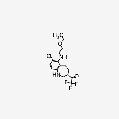 CCOCCNc1c(Cl)ccc2c1CCC(C(=O)C(F)(F)F)CN2